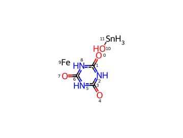 O=c1[nH]c(=O)[nH]c(=O)[nH]1.[Fe].[OH][SnH3]